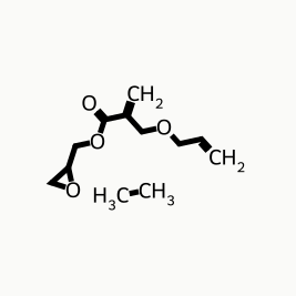 C=CCOCC(=C)C(=O)OCC1CO1.CC